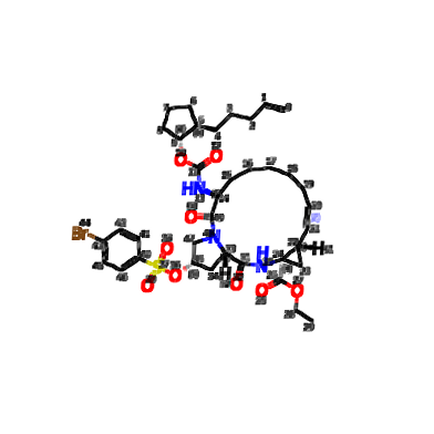 C=CCCC[C@@H]1CCC[C@H]1OC(=O)N[C@H]1CCCCC/C=C\[C@@H]2C[C@@]2(C(=O)OCC)NC(=O)[C@@H]2C[C@H](OS(=O)(=O)c3ccc(Br)cc3)CN2C1=O